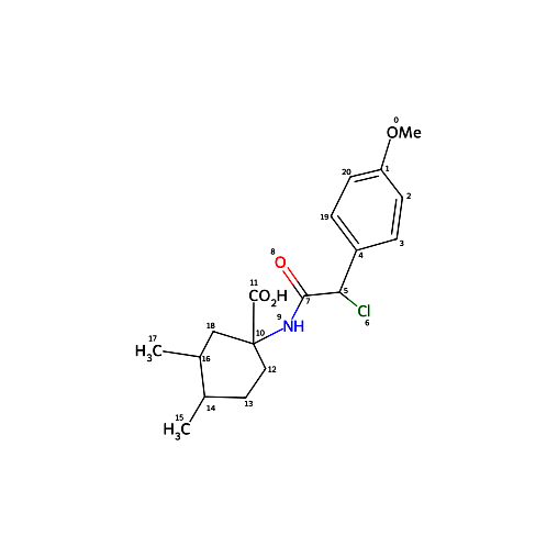 COc1ccc(C(Cl)C(=O)NC2(C(=O)O)CCC(C)C(C)C2)cc1